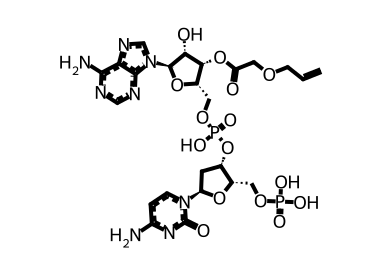 C=CCOCC(=O)O[C@H]1[C@@H](O)[C@H](n2cnc3c(N)ncnc32)O[C@H]1COP(=O)(O)O[C@H]1C[C@H](n2ccc(N)nc2=O)O[C@H]1COP(=O)(O)O